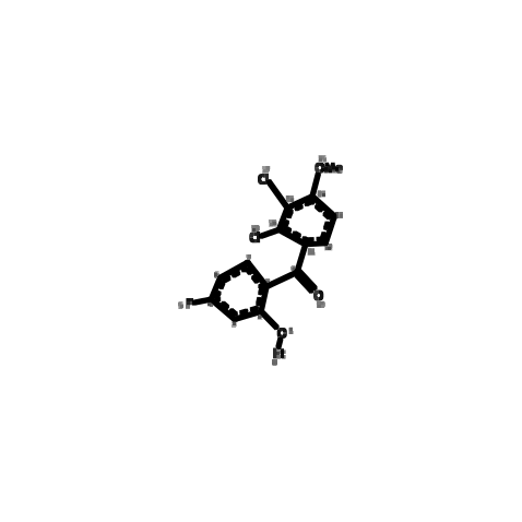 CCOc1cc(F)ccc1C(=O)c1ccc(OC)c(Cl)c1Cl